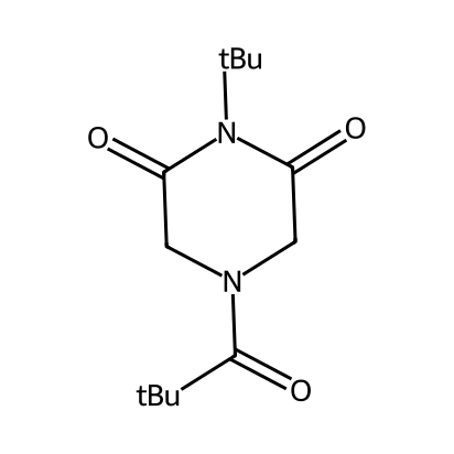 CC(C)(C)C(=O)N1CC(=O)N(C(C)(C)C)C(=O)C1